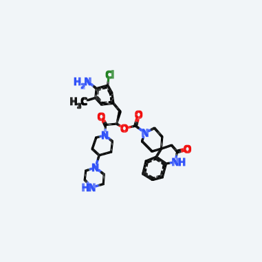 Cc1cc(C[C@@H](OC(=O)N2CCC3(CC2)CC(=O)Nc2ccccc23)C(=O)N2CCC(N3CCNCC3)CC2)cc(Cl)c1N